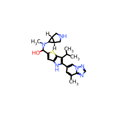 Cc1cc(-c2[nH]c3cc(C(O)N(C)[C@H]4[C@@H]5CNC[C@@H]54)sc3c2C(C)C)cn2ncnc12